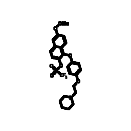 COOc1ccc2c(Oc3ccc(OCCN4CCCCC4)cc3)c(OS(=O)(=O)C(F)(F)F)ccc2c1